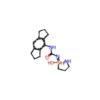 O=C(N=[SH]1(O)CCCN1)Nc1c2c(cc3c1CCC3)CCC2